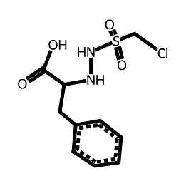 O=C(O)C(Cc1ccccc1)NNS(=O)(=O)CCl